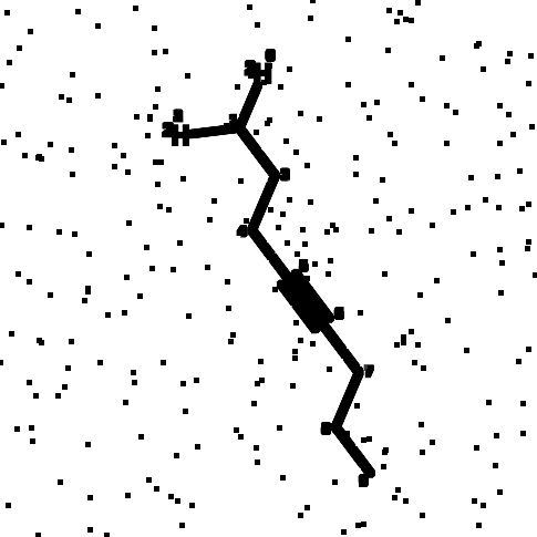 [2H]C([2H])CCC#CCCC